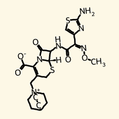 CO/N=C(\C(=O)NC1C(=O)N2C(C(=O)[O-])=C(C[N+]34CCC(CC3)CC4)CS[C@@H]12)c1csc(N)n1